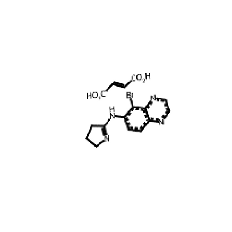 Brc1c(NC2=NCCC2)ccc2nccnc12.O=C(O)C=CC(=O)O